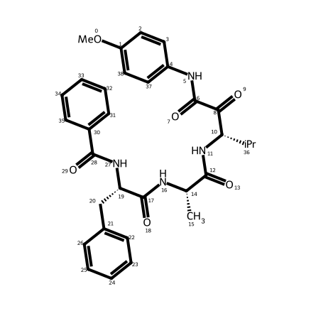 COc1ccc(NC(=O)C(=O)[C@@H](NC(=O)[C@H](C)NC(=O)[C@H](Cc2ccccc2)NC(=O)c2ccccc2)C(C)C)cc1